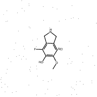 COc1cc2c(c(F)c1O)CNC2.Cl